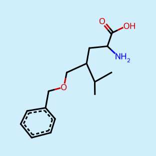 CC(C)C(COCc1ccccc1)CC(N)C(=O)O